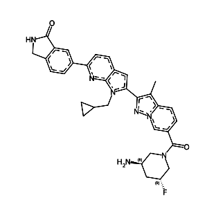 Cc1c(-c2cc3ccc(-c4ccc5c(c4)C(=O)NC5)nc3n2CC2CC2)nn2cc(C(=O)N3C[C@H](N)C[C@@H](F)C3)ccc12